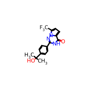 CC(C)(O)c1ccc(-c2nn3c(C(F)(F)F)ccc3c(=O)[nH]2)cc1